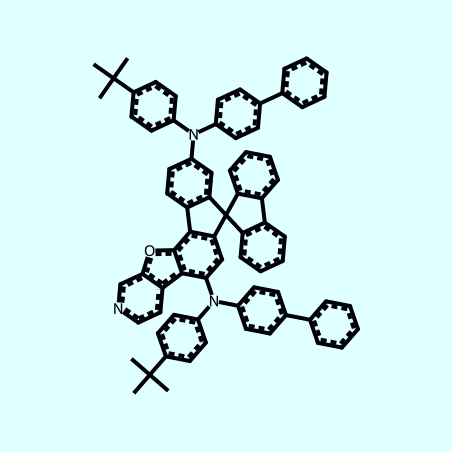 CC(C)(C)c1ccc(N(c2ccc(-c3ccccc3)cc2)c2ccc3c(c2)C2(c4ccccc4-c4ccccc42)c2cc(N(c4ccc(-c5ccccc5)cc4)c4ccc(C(C)(C)C)cc4)c4c(oc5cnccc54)c2-3)cc1